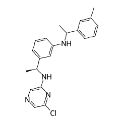 Cc1cccc(C(C)Nc2cccc([C@H](C)Nc3cncc(Cl)n3)c2)c1